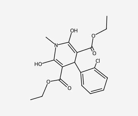 CCOC(=O)C1=C(O)N(C)C(O)=C(C(=O)OCC)C1c1ccccc1Cl